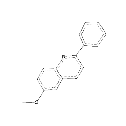 COc1ccc2nc(-c3ccccc3)ccc2c1